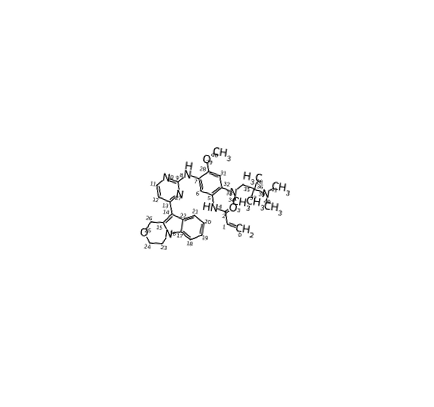 C=CC(=O)Nc1cc(Nc2nccc(-c3c4n(c5ccccc35)CCOC4)n2)c(OC)cc1N(C)CC(C)(C)N(C)C